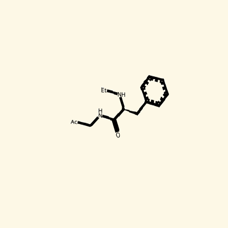 CCN[C@@H](Cc1ccccc1)C(=O)NCC(C)=O